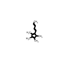 CC=CC=CC1=C(C)C(C)=C(C)C1C